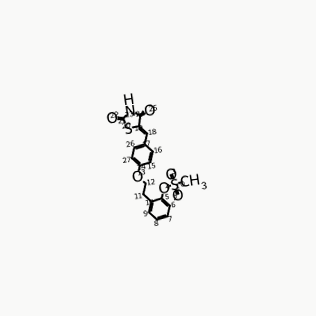 CS(=O)(=O)Oc1ccccc1CCOc1ccc(/C=C2\SC(=O)NC2=O)cc1